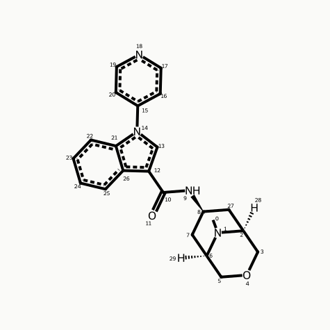 CN1[C@@H]2COC[C@H]1C[C@@H](NC(=O)c1cn(-c3ccncc3)c3ccccc13)C2